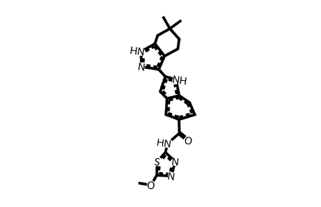 COc1nnc(NC(=O)c2ccc3[nH]c(-c4n[nH]c5c4CCC(C)(C)C5)cc3c2)s1